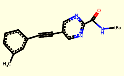 Cc1cccc(C#Cc2cnc(C(=O)NC(C)(C)C)nc2)c1